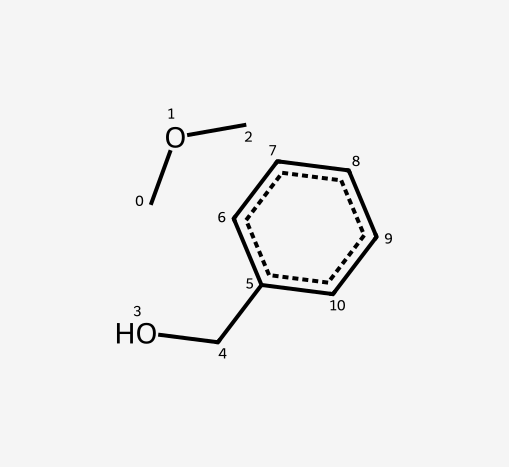 COC.OCc1ccccc1